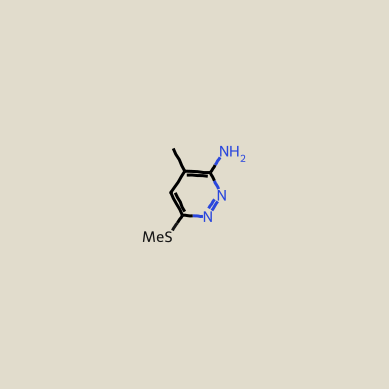 CSc1cc(C)c(N)nn1